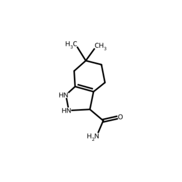 CC1(C)CCC2=C(C1)NNC2C(N)=O